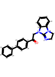 O=C(CN1C2=NCCN2c2ccccc21)c1ccc(-c2ccccc2)cc1